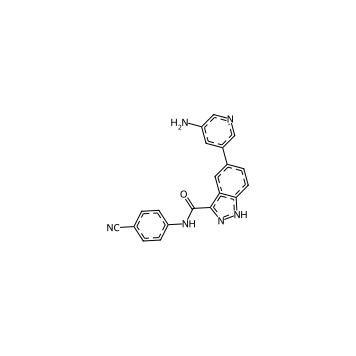 N#Cc1ccc(NC(=O)c2n[nH]c3ccc(-c4cncc(N)c4)cc23)cc1